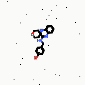 Brc1ccc(CNC2=Nc3ccccc3NC23CCOCC3)cc1